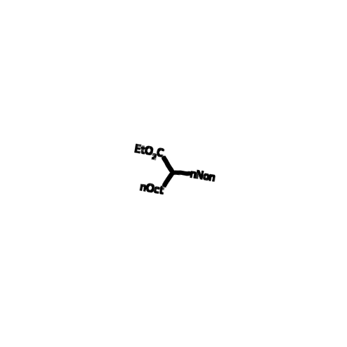 C[CH]OC(=O)C(CCCCCCCC)CCCCCCCCC